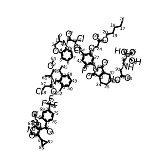 CC1COc2ccccc2N1C(=O)C(Cl)Cl.CCCCCOC(=O)COc1cc(N2C(=O)C3=C(CCCC3)C2=O)c(F)cc1Cl.CCc1cccc(C)c1N(C(=O)CCl)C(C)COC.CS(=O)(=O)c1cc(C(F)(F)F)ccc1C(=O)c1cnoc1C1CC1.O=C(O)CNCP(=O)(O)O